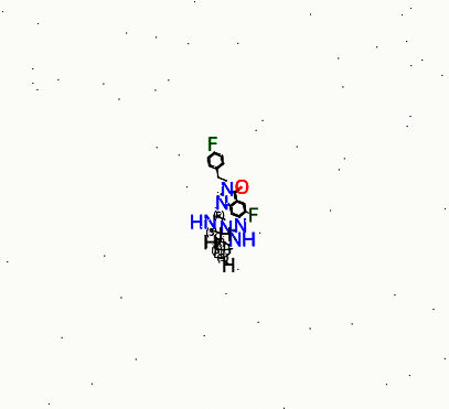 C[C@@H]1CN(C(=Nc2cc3ncn(CCc4ccc(F)cc4)c(=O)c3cc2F)NC2C[C@@H]3C[C@@H]([C@H]2C)C3(C)C)C[C@H](C)N1